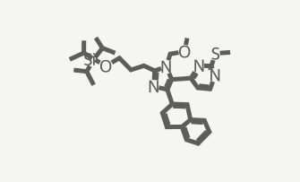 COCn1c(CCCO[Si](C(C)C)(C(C)C)C(C)C)nc(-c2ccc3ccccc3c2)c1-c1ccnc(SC)n1